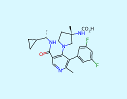 Cc1ncc(C(=O)N[C@@H](C)C2CC2)c(N2CC[C@](C)(NC(=O)O)C2)c1-c1cc(F)cc(F)c1